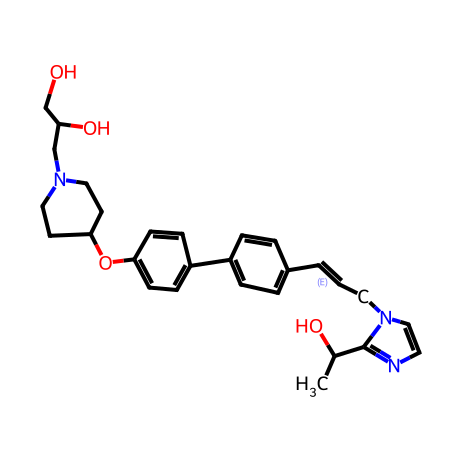 CC(O)c1nccn1C/C=C/c1ccc(-c2ccc(OC3CCN(CC(O)CO)CC3)cc2)cc1